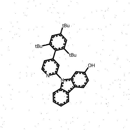 CC(C)(C)c1cc(C(C)(C)C)c(-c2ccnc(-n3c4ccccc4c4ccc(O)cc43)c2)c(C(C)(C)C)c1